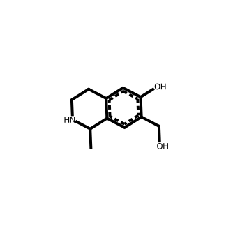 CC1NCCc2cc(O)c(CO)cc21